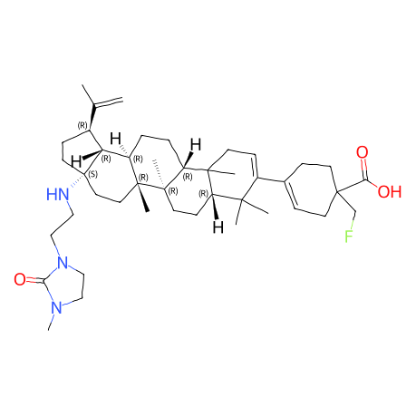 C=C(C)[C@@H]1CC[C@]2(NCCN3CCN(C)C3=O)CC[C@]3(C)[C@H](CC[C@@H]4C5(C)CC=C(C6=CCC(CF)(C(=O)O)CC6)C(C)(C)[C@@H]5CC[C@]43C)[C@@H]12